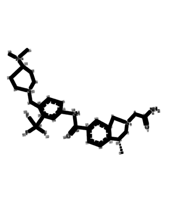 C[C@H]1CN(CC(N)=O)Cc2cc(C(=O)Nc3ccc(CN4CCC(N(C)C)CC4)c(C(F)(F)F)c3)ccc21